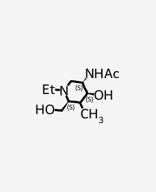 CCN1C[C@H](NC(C)=O)[C@@H](O)C(C)[C@H]1CO